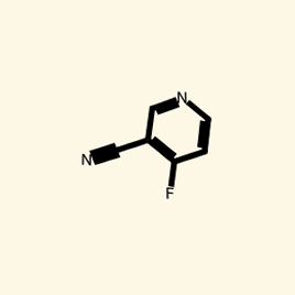 N#Cc1cnccc1F